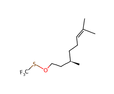 CC(C)=CCC[C@@H](C)CCOSC(F)(F)F